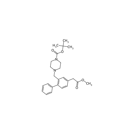 COC(=O)Cc1ccc(-c2ccccc2)c(CN2CCN(C(=O)OC(C)(C)C)CC2)c1